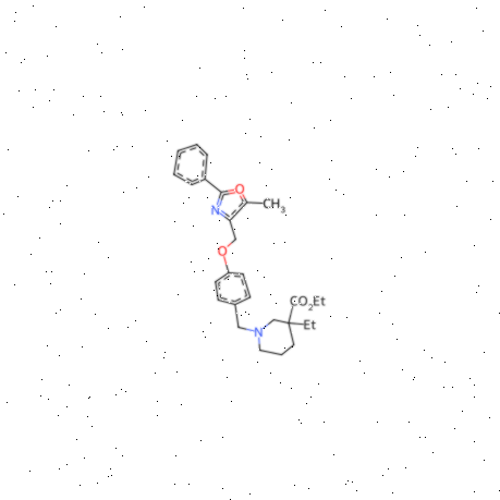 CCOC(=O)C1(CC)CCCN(Cc2ccc(OCc3nc(-c4ccccc4)oc3C)cc2)C1